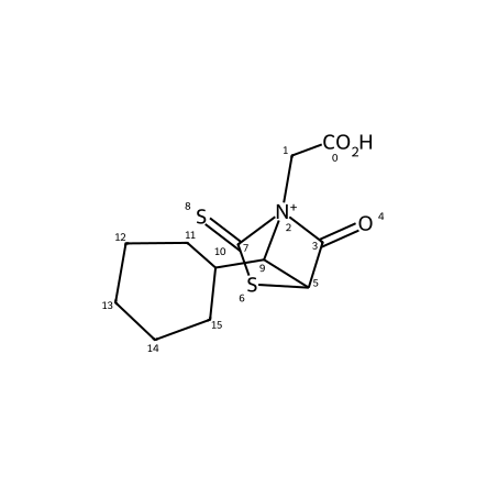 O=C(O)C[N+]12C(=O)C(SC1=S)C2C1CCCCC1